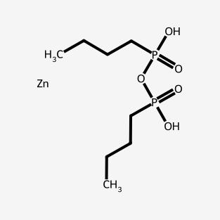 CCCCP(=O)(O)OP(=O)(O)CCCC.[Zn]